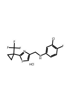 Cl.Fc1ccc(NCc2csc(C3(C(F)(F)F)CC3)n2)cc1Cl